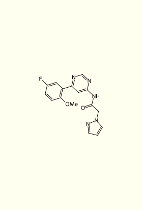 COc1ccc(F)cc1-c1cc(NC(=O)Cn2cccn2)ncn1